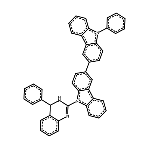 c1ccc(C2NC(n3c4ccccc4c4cc(-c5ccc6c(c5)c5ccccc5n6-c5ccccc5)ccc43)=Nc3ccccc32)cc1